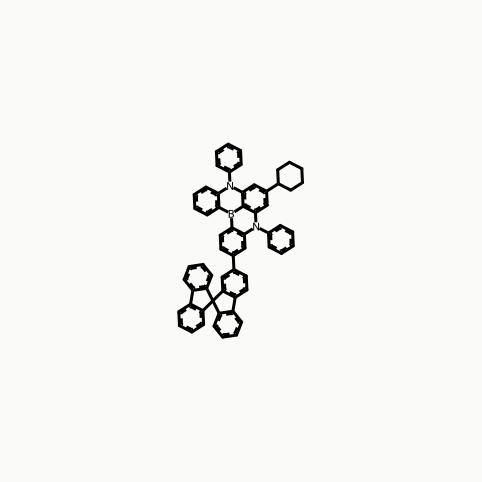 c1ccc(N2c3ccccc3B3c4ccc(-c5ccc6c(c5)C5(c7ccccc7-c7ccccc75)c5ccccc5-6)cc4N(c4ccccc4)c4cc(C5CCCCC5)cc2c43)cc1